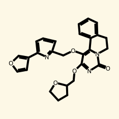 O=c1nc(OCC2CCCO2)c(OCc2cccc(-c3ccoc3)n2)c2n1CCc1ccccc1-2